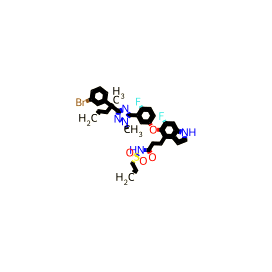 C=CCC(C)(c1cccc(Br)c1)c1nc(-c2cc(Oc3c(F)cc4[nH]ccc4c3CCC(=O)NS(=O)(=O)CC=C)ccc2F)n(C)n1